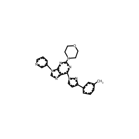 Cc1cccc(-c2ccn(-c3nc(N4CCOCC4)nc4c3ncn4-c3cccnc3)n2)c1